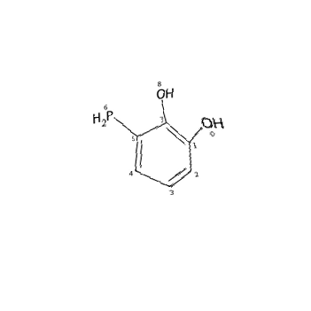 Oc1cccc(P)c1O